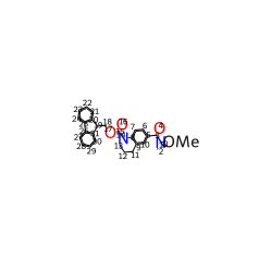 CON(C)C(=O)c1ccc2c(c1)CCCN2C(=O)OCC1c2ccccc2-c2ccccc21